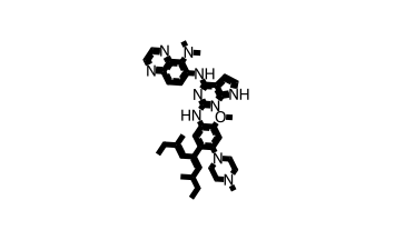 CC/C(C)=C/C(=C\C(C)CC)c1cc(Nc2nc(Nc3ccc4nccnc4c3N(C)C)c3cc[nH]c3n2)c(OC)cc1N1CCN(C)CC1